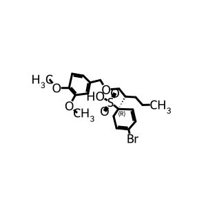 CCCC(COCc1ccc(OC)c(OC)c1)[C@]1(S(=O)(=O)O)C=CC(Br)=CC1